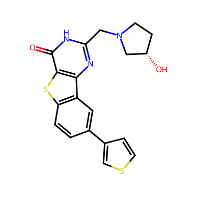 O=c1[nH]c(CN2CC[C@H](O)C2)nc2c1sc1ccc(-c3ccsc3)cc12